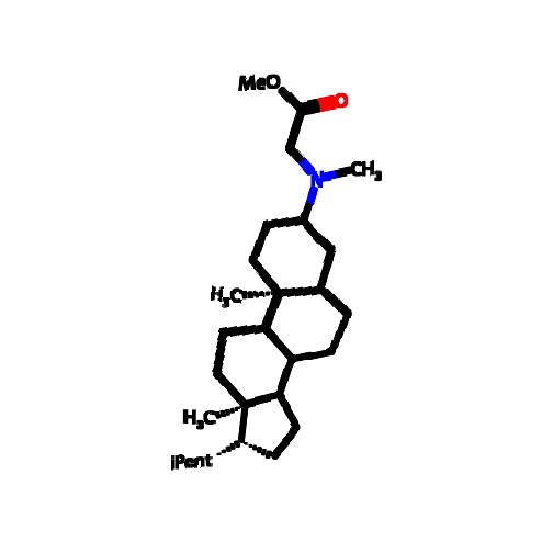 CCC[C@@H](C)[C@H]1CCC2C3CCC4CC(N(C)CC(=O)OC)CC[C@]4(C)C3CC[C@@]21C